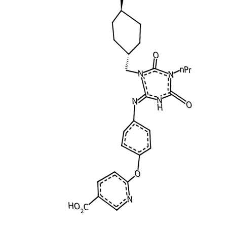 CCCn1c(=O)[nH]/c(=N\c2ccc(Oc3ccc(C(=O)O)cn3)cc2)n(C[C@H]2CC[C@H](C)CC2)c1=O